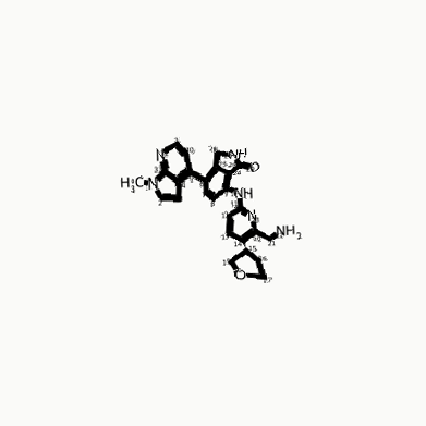 Cn1ccc2c(-c3ccc(Nc4ccc([C@@H]5CCOC5)c(CN)n4)c4c3CNC4=O)ccnc21